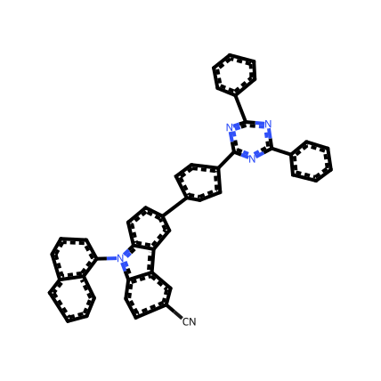 N#Cc1ccc2c(c1)c1cc(-c3ccc(-c4nc(-c5ccccc5)nc(-c5ccccc5)n4)cc3)ccc1n2-c1cccc2ccccc12